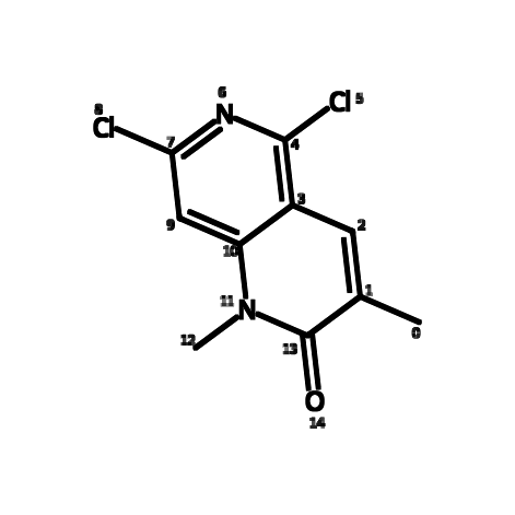 Cc1cc2c(Cl)nc(Cl)cc2n(C)c1=O